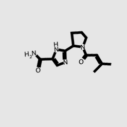 CC(C)=CC(=O)N1CCCC1c1ncc(C(N)=O)[nH]1